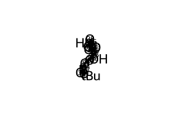 CC(C)(C)OC(=O)N1CCC(OCCOCC(O)c2ccc3c(c2)C(=O)N(C2CCC(=O)NC2=O)C3=O)CC1